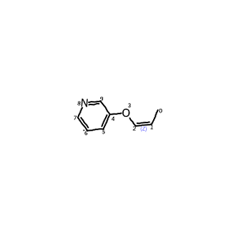 C/C=C\Oc1c[c]cnc1